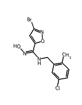 Cc1ccc(Cl)cc1CN/C(=N/O)c1cc(Br)no1